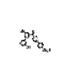 CC(C)(C)c1cc(C(=O)N2CCN(c3ccc(C(=O)O)cc3)CC2)cc(-c2cncc(O)c2)c1